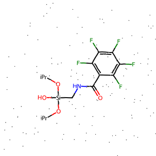 CC(C)O[Si](O)(CNC(=O)c1c(F)c(F)c(F)c(F)c1F)OC(C)C